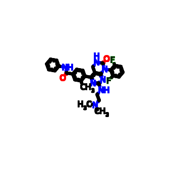 Cc1cc(C(=O)Nc2ccccc2)ccc1-c1nc(NCCN(C)C)nc2c1CNC(=O)N2c1c(F)cccc1F